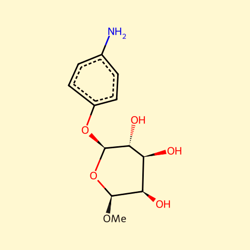 CO[C@H]1O[C@@H](Oc2ccc(N)cc2)[C@H](O)[C@@H](O)[C@H]1O